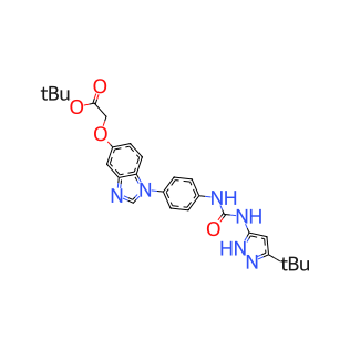 CC(C)(C)OC(=O)COc1ccc2c(c1)ncn2-c1ccc(NC(=O)Nc2cc(C(C)(C)C)n[nH]2)cc1